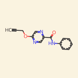 C#CCOc1cnc(C(=O)Nc2ccccc2)cn1